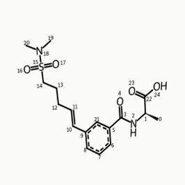 C[C@@H](NC(=O)c1cccc(C=CCCCS(=O)(=O)N(C)C)c1)C(=O)O